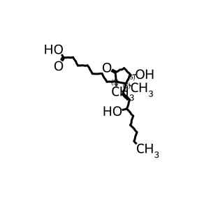 CCCCCC(O)C=C[C@]1(C)[C@@H](O)CC(=O)[C@@]1(C)CCCCCCC(=O)O